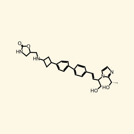 C[C@H](O)c1nccn1C(/C=C/c1ccc(-c2ccc(C3CC(NCC4CNC(=O)O4)C3)cc2)cc1)CO